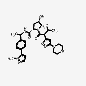 CC(NC(=O)[C@@H]1C[C@@H](O)CN1C(=O)C(c1cc(N2CCNCC2)no1)C(C)C)c1ccc(-c2ccnn2C)cc1